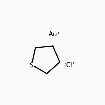 C1CCSC1.[Au+].[Cl+]